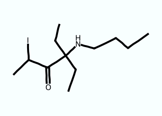 CCCCNC(CC)(CC)C(=O)C(C)I